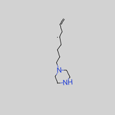 C=CC[CH]CCCCN1CCNCC1